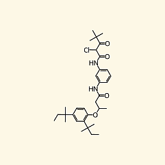 CCC(C)(C)c1ccc(OC(C)CC(=O)Nc2cccc(NC(=O)C(Cl)C(=O)C(C)(C)C)c2)c(C(C)(C)CC)c1